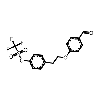 O=Cc1ccc(OCCc2ccc(OS(=O)(=O)C(F)(F)F)cc2)cc1